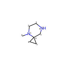 CN1CCNCC12CC2